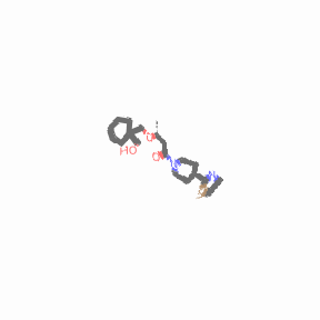 C[C@H](CC(=O)N1CCC(c2nccs2)CC1)OCC1(CO)CCCCC1